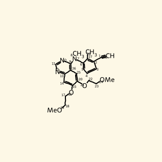 C#Cc1cccc(N(C)c2ncnc3cc(OCCOC)c(OCCOC)cc23)c1C